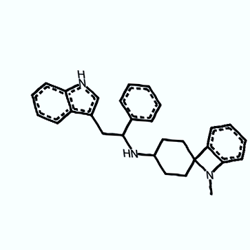 CN1c2ccccc2C12CCC(NC(Cc1c[nH]c3ccccc13)c1ccccc1)CC2